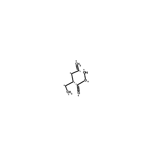 C=CCCCC.O=COO